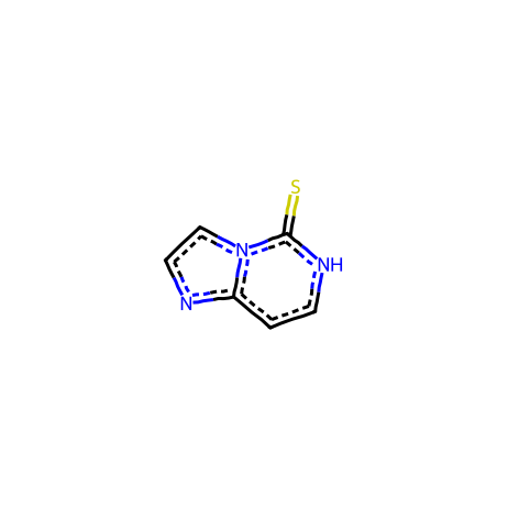 S=c1[nH]ccc2nccn12